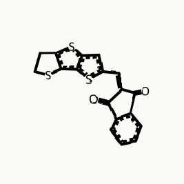 O=C1C(=Cc2cc3sc4c(c3s2)SCC4)C(=O)c2ccccc21